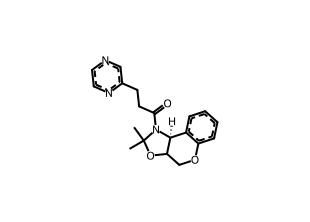 CC1(C)OC2COc3ccccc3[C@@H]2N1C(=O)CCc1cnccn1